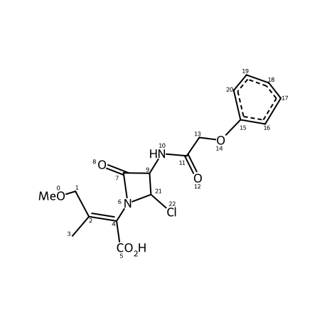 COC/C(C)=C(/C(=O)O)N1C(=O)C(NC(=O)COc2ccccc2)C1Cl